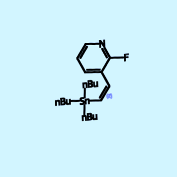 CCC[CH2][Sn](/[CH]=C\c1cccnc1F)([CH2]CCC)[CH2]CCC